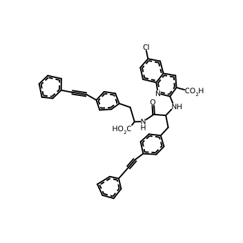 O=C(O)c1cc2cc(Cl)ccc2nc1NC(Cc1ccc(C#Cc2ccccc2)cc1)C(=O)NC(Cc1ccc(C#Cc2ccccc2)cc1)C(=O)O